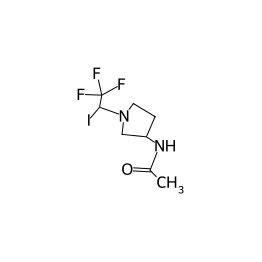 CC(=O)NC1CCN(C(I)C(F)(F)F)C1